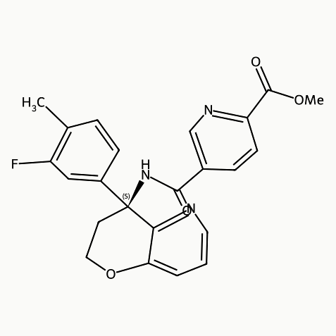 COC(=O)c1ccc(C(=O)N[C@]2(c3ccc(C)c(F)c3)CCOc3cccnc32)cn1